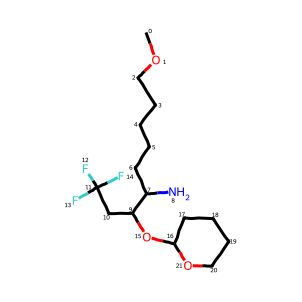 COCCCCCC(N)C(CC(F)(F)F)OC1CCCCO1